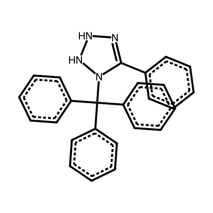 c1ccc(C2=NNNN2C(c2ccccc2)(c2ccccc2)c2ccccc2)cc1